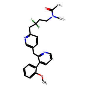 COc1ccccc1-c1cccnc1Cc1ccc(CC(F)(F)CCN(C)C(C)=O)nc1